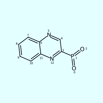 O=P(=O)c1cnc2ccccc2n1